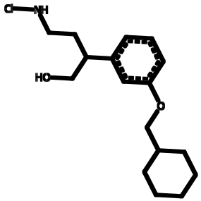 OCC(CCNCl)c1cccc(OCC2CCCCC2)c1